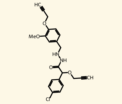 C#CCOc1ccc(CNNC(=O)C(OCC#C)c2ccc(Cl)cc2)cc1OC